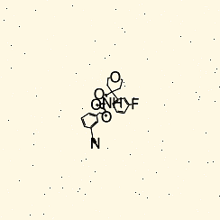 N#Cc1cccc(S(=O)(=O)NC(=O)C2(c3cccc(F)c3)CCOCC2)c1